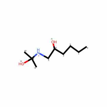 CCCCC(O)CNC(C)(C)O